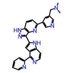 CN(C)Cc1cncc(-c2ccc3[nH]nc(-c4cc5c(-c6ccccn6)nccc5[nH]4)c3n2)c1